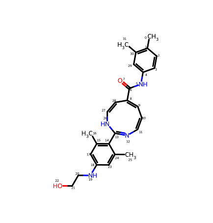 Cc1ccc(NC(=O)c2cccnc(-c3c(C)cc(NCCO)cc3C)[nH]cc2)cc1C